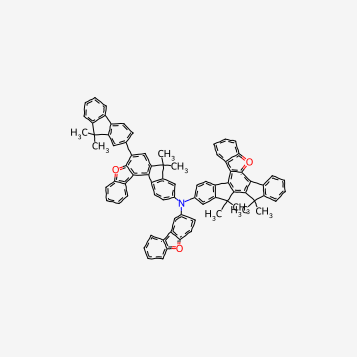 CC1(C)c2ccccc2-c2ccc(-c3cc4c(c5c3oc3ccccc35)-c3ccc(N(c5ccc6c(c5)C(C)(C)c5c7c(c8oc9ccccc9c8c5-6)-c5ccccc5C7(C)C)c5ccc6oc7ccccc7c6c5)cc3C4(C)C)cc21